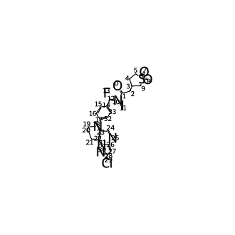 O=C(C[C@H]1CCS(=O)(=O)C1)N(I)[C@H](F)c1ccc(N2CCCc3c2cnc2cc(Cl)nn32)cc1